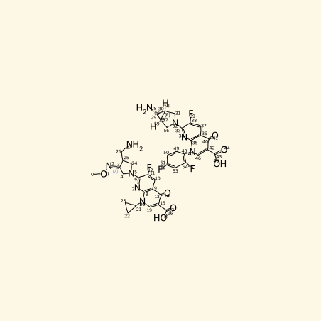 CO/N=C1\CN(c2nc3c(cc2F)c(=O)c(C(=O)O)cn3C2CC2)CC1CN.N[C@@H]1[C@H]2CN(c3nc4c(cc3F)c(=O)c(C(=O)O)cn4-c3ccc(F)cc3F)C[C@@H]12